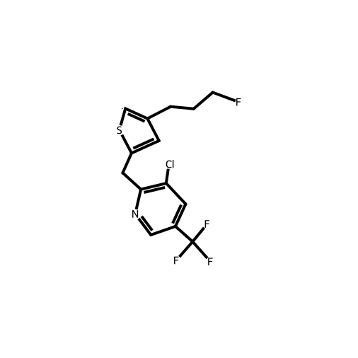 FCCCc1[c]sc(Cc2ncc(C(F)(F)F)cc2Cl)c1